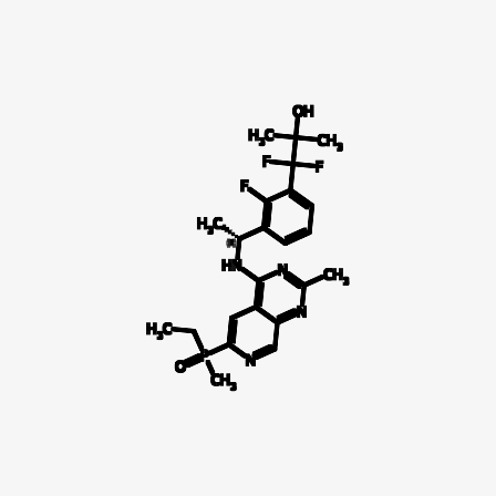 CCP(C)(=O)c1cc2c(N[C@H](C)c3cccc(C(F)(F)C(C)(C)O)c3F)nc(C)nc2cn1